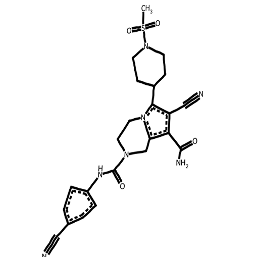 CS(=O)(=O)N1CCC(c2c(C#N)c(C(N)=O)c3n2CCN(C(=O)Nc2ccc(C#N)cc2)C3)CC1